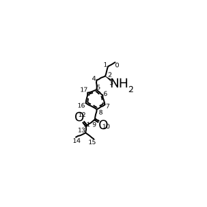 CC[C@@H](N)Cc1ccc(C(=O)C(=O)C(C)C)cc1